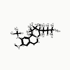 [2H]C([2H])([2H])Oc1cc2c(cc1OC)CCN1CC([2H])(C([2H])([2H])C([2H])(C)C([2H])([2H])[2H])C([2H])(O)C([2H])([2H])C21[2H]